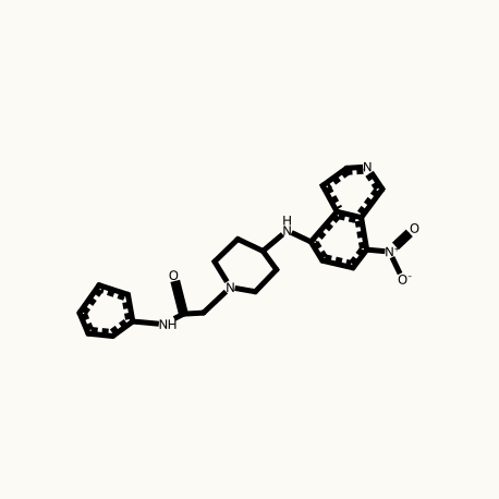 O=C(CN1CCC(Nc2ccc([N+](=O)[O-])c3cnccc23)CC1)Nc1ccccc1